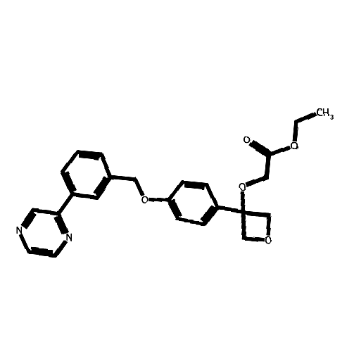 CCOC(=O)COC1(c2ccc(OCc3cccc(-c4cnccn4)c3)cc2)COC1